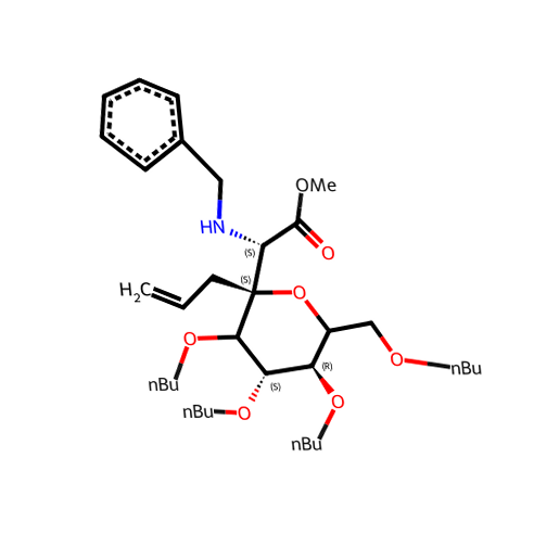 C=CC[C@@]1([C@H](NCc2ccccc2)C(=O)OC)OC(COCCCC)[C@@H](OCCCC)[C@H](OCCCC)C1OCCCC